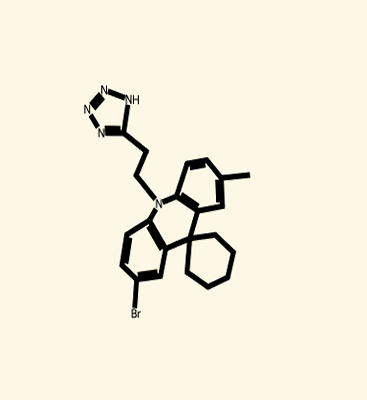 Cc1ccc2c(c1)C1(CCCCC1)c1cc(Br)ccc1N2CCc1nnn[nH]1